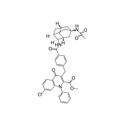 COC(=O)c1c(Cc2ccc(C(=O)N[C@@H]3[C@@H]4C[C@@H]5C[C@H]3C[C@](NS(C)(=O)=O)(C5)C4)cc2)c(=O)c2ccc(Cl)cc2n1-c1ccccc1